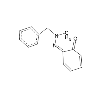 CN(Cc1ccccc1)N=C1C=CC=CC1=O